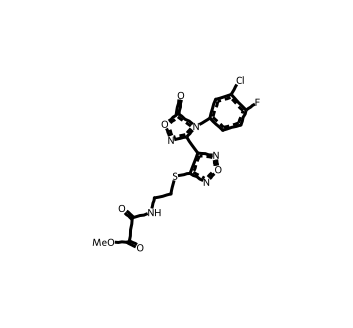 COC(=O)C(=O)NCCSc1nonc1-c1noc(=O)n1-c1ccc(F)c(Cl)c1